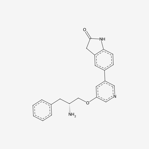 N[C@@H](COc1cncc(-c2ccc3c(c2)CC(=O)N3)c1)Cc1ccccc1